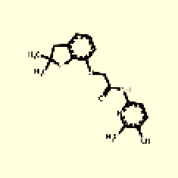 Cc1nc(NC(=O)COc2cccc3c2OC(C)(C)C3)ccc1C#N